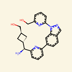 N[C@H](c1cccc(-c2ccc3cnn(-c4cccc(CO)n4)c3c2)n1)[C@H]1C[C@H](CO)C1